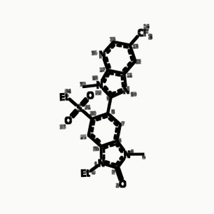 CCn1c(=O)n(C)c2cc(-c3nc4cc(C(F)(F)F)cnc4n3C)c(S(=O)(=O)CC)cc21